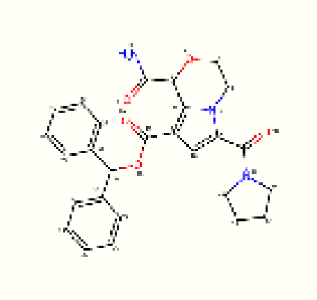 NC(=O)C1OCCn2c(C(=O)N3CCCC3)cc(C(=O)OC(c3ccccc3)c3ccccc3)c21